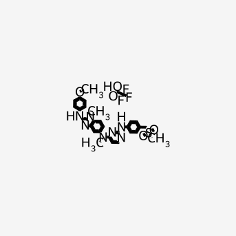 COc1ccc(Nc2nc3cc(N(C)c4ccnc(Nc5ccc(CS(C)(=O)=O)cc5)n4)ccc3n2C)cc1.O=C(O)C(F)(F)F